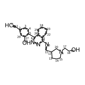 C#Cc1ccc(-c2nnc(/N=C/C3CCCN(CCO)C3)c3ccccc23)c(O)c1